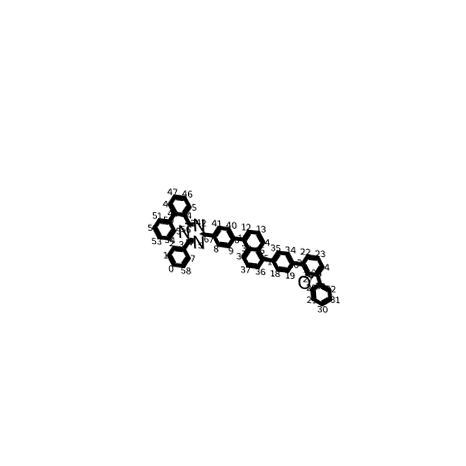 c1ccc(-c2nc(-c3ccc(-c4cccc5c(-c6ccc(-c7cccc8c7oc7ccccc78)cc6)cccc45)cc3)nc(-c3ccccc3-c3ccccc3)n2)cc1